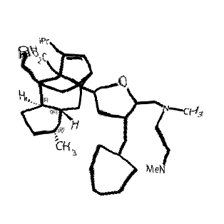 CNCCN(C)CC1OC(C23C[C@@H]4[C@H](C)CC[C@H]4C4(CO)CC2C=C(C(C)C)C34C(=O)O)CC1CC1CCCCC1